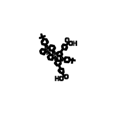 CC(C)(C)c1ccc(B2c3ccccc3N3c4cccc5c4B(c4cccc2c43)c2cc(-c3ccc(C(=O)O)cc3)cc3c2N5c2ccc(-c4ccc(C(=O)O)cc4)cc2B3c2ccc(C(C)(C)C)cc2)cc1